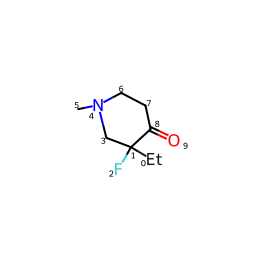 CCC1(F)CN(C)CCC1=O